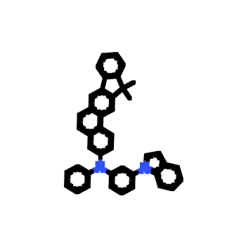 CC1(C)c2ccccc2-c2cc3ccc4cc(N(c5ccccc5)c5cccc(-n6ccc7ccccc76)c5)ccc4c3cc21